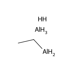 C[CH2][AlH2].[AlH3].[HH]